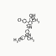 Cc1cc2nc(-c3ccc4c(c3)nc(C)n4C3CCN(C)CC3)sc2c(-c2ccc(Cl)cc2)c1CC(=O)O